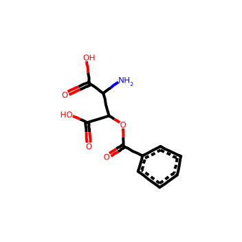 NC(C(=O)O)C(OC(=O)c1ccccc1)C(=O)O